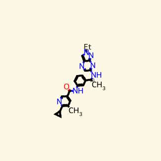 CCn1cc2ncc(N[C@@H](C)c3cccc(NC(=O)c4cnc(C5CC5)c(C)c4)c3)nc2n1